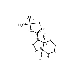 CC(C)(C)OC(=O)N1CC[C@H]2NCCC[C@H]21